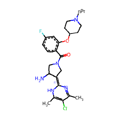 CCCN1CCC(Oc2cc(F)ccc2C(=O)N2C/C(=C3\N=C(C)C(Cl)=C(C)N3)C(N)C2)CC1